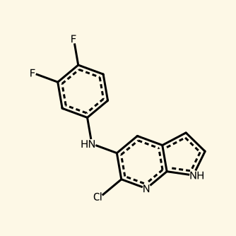 Fc1ccc(Nc2cc3cc[nH]c3nc2Cl)cc1F